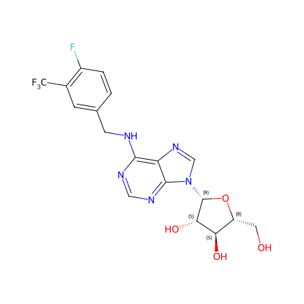 OC[C@H]1O[C@@H](n2cnc3c(NCc4ccc(F)c(C(F)(F)F)c4)ncnc32)[C@@H](O)[C@@H]1O